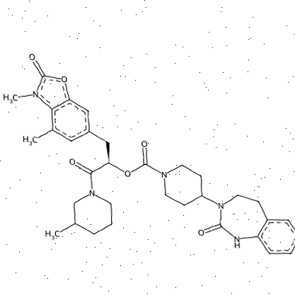 Cc1cc(C[C@@H](OC(=O)N2CCC(N3CCc4ccccc4NC3=O)CC2)C(=O)N2CCCC(C)C2)cc2oc(=O)n(C)c12